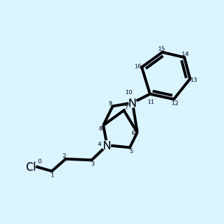 ClCCCN1CC2CC1CN2c1ccccc1